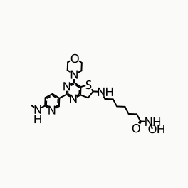 CNc1ccc(-c2nc3c(c(N4CCOCC4)n2)SC(NCCCCCCC(=O)NO)C3)cn1